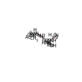 CC(=O)c1c(C)c2cnc(Nc3ccc(N4CCN(C(=O)CCOCCC(=O)N[C@H](C(=O)N5CC(O)CC5C(=O)NCc5ccc(-c6scnc6C)cc5)C(C)(C)C)CC4)cn3)nc2n(C2CCCC2)c1=O